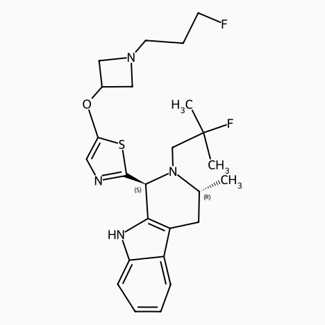 C[C@@H]1Cc2c([nH]c3ccccc23)[C@@H](c2ncc(OC3CN(CCCF)C3)s2)N1CC(C)(C)F